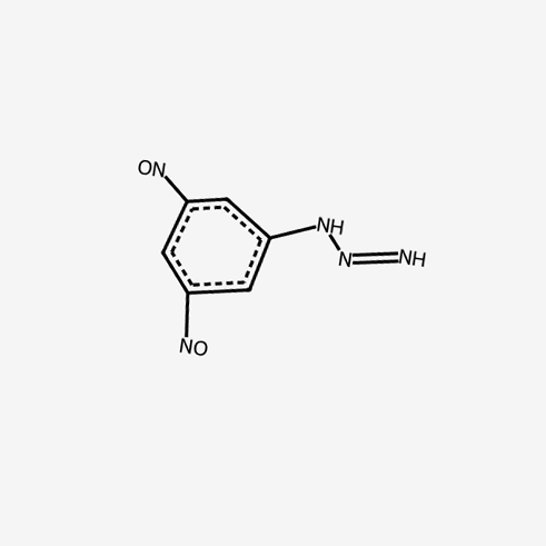 N=NNc1cc(N=O)cc(N=O)c1